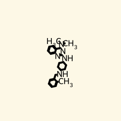 Cc1ccccc1CN[C@H]1CC[C@@H](Nc2nc(N(C)C)c3ccccc3n2)CC1